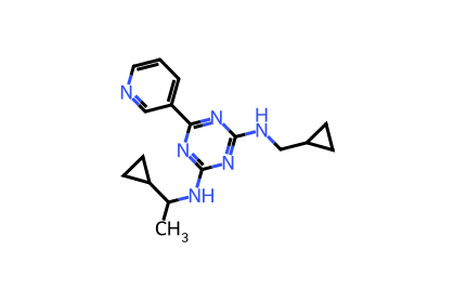 CC(Nc1nc(NCC2CC2)nc(-c2cccnc2)n1)C1CC1